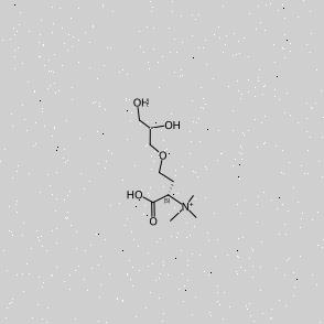 C[N+](C)(C)[C@@H](CCOCC(O)CO)C(=O)O